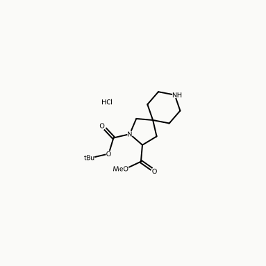 COC(=O)C1CC2(CCNCC2)CN1C(=O)OC(C)(C)C.Cl